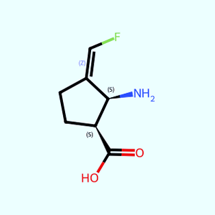 N[C@@H]1/C(=C\F)CC[C@@H]1C(=O)O